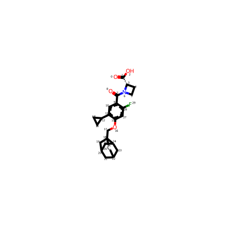 O=C(O)[C@@H]1CCN1C(=O)c1cc(C2CC2)c(OCC23CC4CC(CC2C4)C3)cc1F